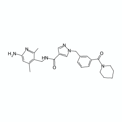 Cc1cc(N)nc(C)c1CNC(=O)c1cnn(Cc2cccc(C(=O)N3CCCCC3)c2)c1